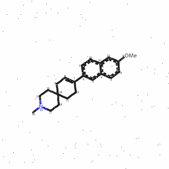 COc1ccc2cc(C3=CCC4(CC3)CCN(C)CC4)ccc2c1